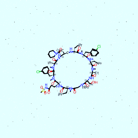 CCCCN1CC(=O)N(C)[C@@H](CC(C)C)C(=O)N[C@@H](CCC(=O)NS(C)(=O)=O)C(=O)N(C)[C@@H](Cc2cccc(Cl)c2)C(=O)N(C)[C@@H](C(C)C)C(=O)N[C@H](C(=O)N2CCCCC2)C(C=O)CN[C@H](CC(C)C)C(=O)N(C)[C@@H](Cc2cccc(Cl)c2)C(=O)N[C@@H](CC(C)C)C(=O)N(C)[C@@H](CC)C(=O)N[C@@H]([C@@H](C)O)C1=O